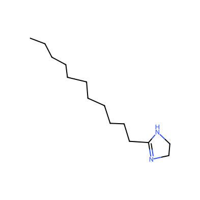 CCCCCCCCCCCC1=NCCN1